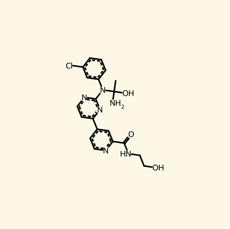 CC(N)(O)N(c1cccc(Cl)c1)c1nccc(-c2ccnc(C(=O)NCCO)c2)n1